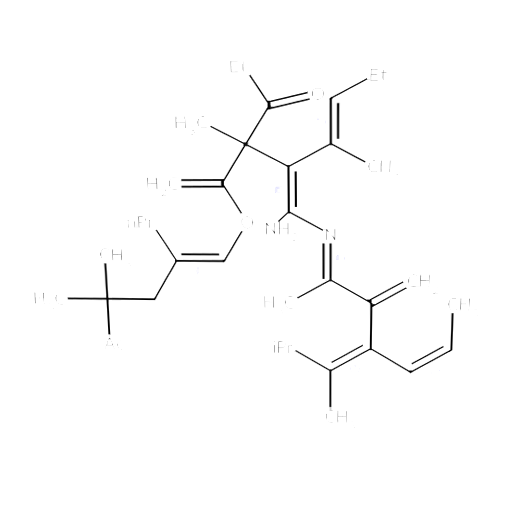 C=C(C(/C=C\C)=C(/C)C(C)C)/C(C)=N/C(N)=C(\C(C)=C\CC)C(C)(C(=C)O/C=C(\CCC)CC(C)(C)C(C)=O)C(=O)CC